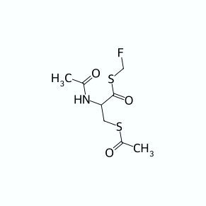 CC(=O)NC(CSC(C)=O)C(=O)SCF